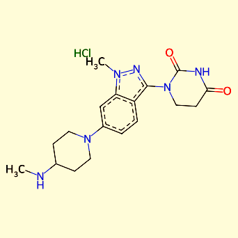 CNC1CCN(c2ccc3c(N4CCC(=O)NC4=O)nn(C)c3c2)CC1.Cl